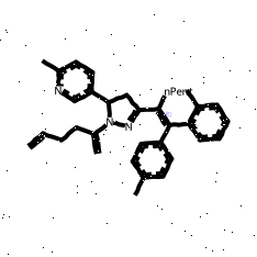 C=CCCC(=C)N1N=C(/C(CCCCC)=C(\c2ccc(C)cc2)c2ccccc2C)CC1c1ccc(C)nc1